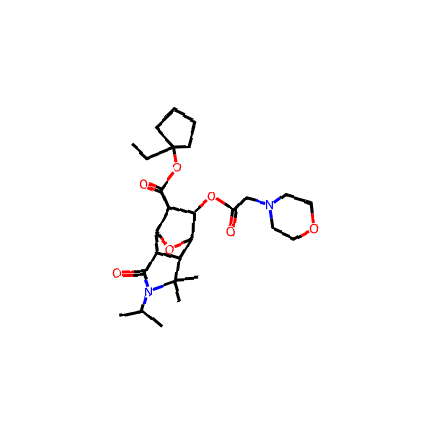 CCC1(OC(=O)C2C(OC(=O)CN3CCOCC3)C3OC2C2C(=O)N(C(C)C)C(C)(C)C32)CCCC1